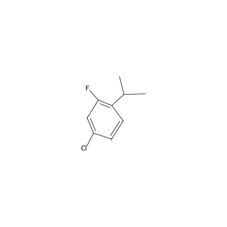 CC(C)c1c[c]c(Cl)cc1F